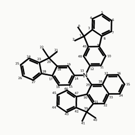 CC1(C)c2ccccc2-c2ccc(N(c3ccc4c(c3)C(C)(C)c3ccccc3-4)c3c4c(cc5ccccc35)C(C)(C)c3ccccc3-4)cc21